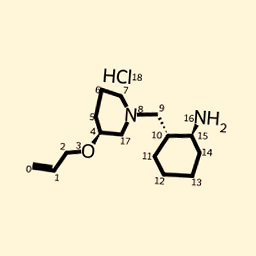 C=CCO[C@H]1CCCN(C[C@H]2CCCC[C@@H]2N)C1.Cl